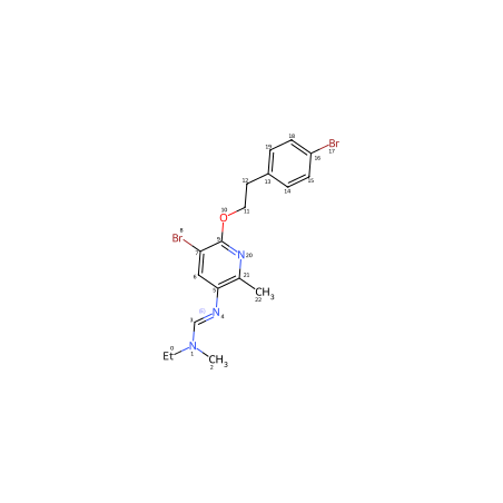 CCN(C)/C=N/c1cc(Br)c(OCCc2ccc(Br)cc2)nc1C